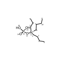 CCCC[N+](CCC)(CCCC)OP(=O)(O)O